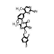 Cc1cnc(C(C)C)nc1-c1ccc(Cl)c(-n2c(C)nc(OCc3ccc(F)cc3F)c(Br)c2=O)c1